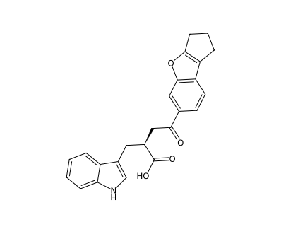 O=C(C[C@H](Cc1c[nH]c2ccccc12)C(=O)O)c1ccc2c3c(oc2c1)CCC3